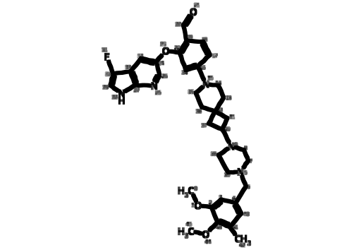 COc1cc(CN2CCN(C3CC4(CCN(c5ccc(C=O)c(Oc6cnc7[nH]cc(F)c7c6)c5)CC4)C3)CC2)cc(C)c1OC